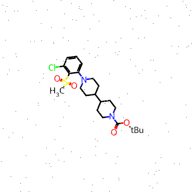 CC(C)(C)OC(=O)N1CCC(C2CCN(c3cccc(Cl)c3S(C)(=O)=O)CC2)CC1